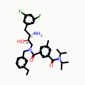 CCc1cccc(CN(C[C@@H](O)[C@@H](N)Cc2cc(F)cc(F)c2)C(=O)c2cc(C)cc(C(=O)N(C(C)C)C(C)C)c2)c1